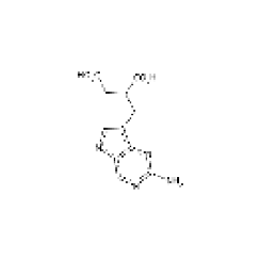 Nc1ncc2ncn(CC(CC(=O)O)C(=O)O)c2n1